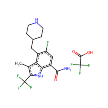 Cc1c(C(F)(F)F)[nH]c2c(C(N)=O)cc(F)c(CC3CCNCC3)c12.O=C(O)C(F)(F)F